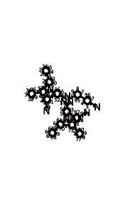 N#Cc1ccc(-c2cccc(-c3nc(-c4ccc(-n5c6ccc(-c7ccccc7)cc6c6cc(-c7ccccc7)ccc65)c(-c5cccc(C#N)c5)c4)nc(-c4ccc(-n5c6ccc(-c7ccccc7)cc6c6cc(-c7ccccc7)ccc65)c(-c5cccc(C#N)c5)c4)n3)c2)cc1